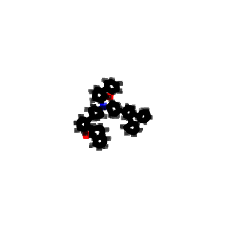 c1ccc(-c2ccc(-c3ccc(N(c4ccc(-c5cccc6oc7c8ccccc8ccc7c56)cc4)c4cccc5c4oc4ccccc45)cc3)cc2-c2ccccc2)cc1